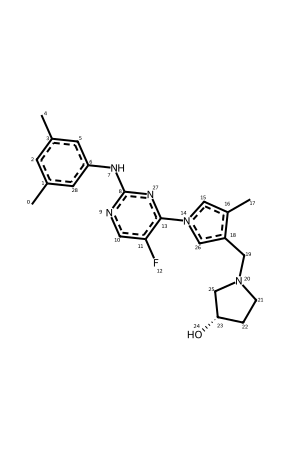 Cc1cc(C)cc(Nc2ncc(F)c(-n3cc(C)c(CN4CC[C@H](O)C4)c3)n2)c1